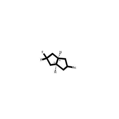 CC(=O)C1C[C@@H]2CC(F)(F)C[C@@H]2C1